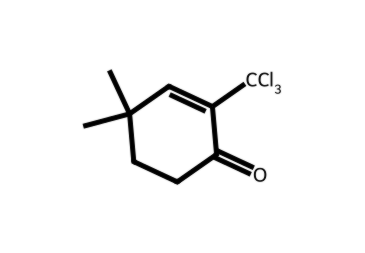 CC1(C)C=C(C(Cl)(Cl)Cl)C(=O)CC1